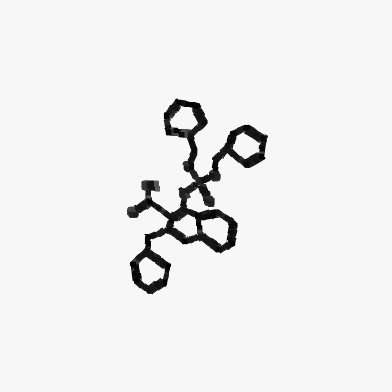 O=C(O)c1c(Cc2ccccc2)cc2ccccc2c1OP(=O)(OCc1ccccc1)OCc1ccccc1